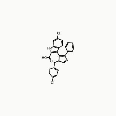 O=C(O)c1[nH]c2cc(Cl)ccc2c1-c1c(-c2ccccc2)ncn1Cc1ccc(Cl)cn1